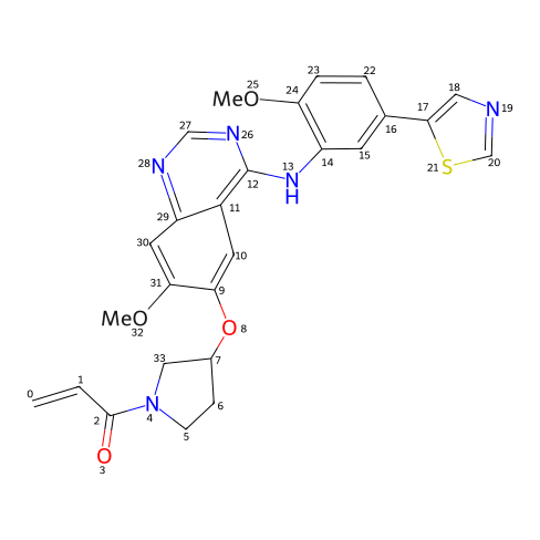 C=CC(=O)N1CCC(Oc2cc3c(Nc4cc(-c5cncs5)ccc4OC)ncnc3cc2OC)C1